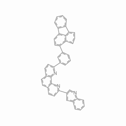 c1cc(-c2ccc3ccc4ccc(-c5cnc6ccccc6c5)nc4c3n2)cc(-c2ccc3c4c(cccc24)-c2ccccc2-3)c1